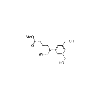 COC(=O)CCCN(CC(C)C)c1cc(CO)cc(CO)c1